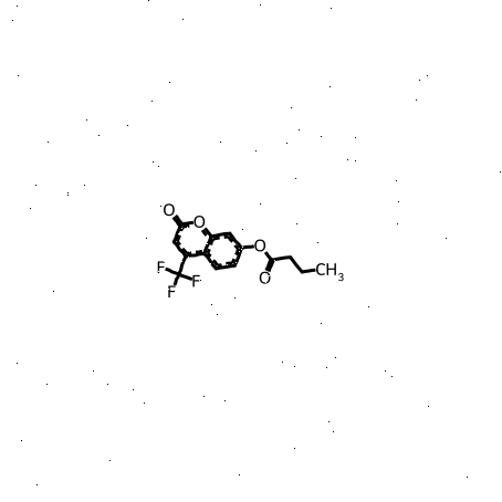 CCCC(=O)Oc1ccc2c(C(F)(F)F)cc(=O)oc2c1